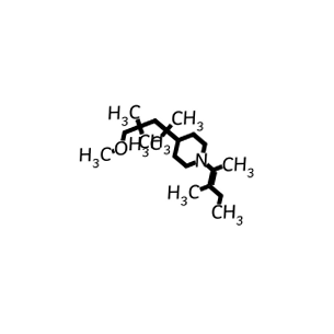 CC/C(C)=C(\C)N1CCC(C(C)(C)CC(C)(C)COC)CC1